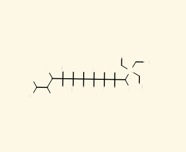 CC[Si](CC)(CC)C(F)C(F)(F)C(F)(F)C(F)(F)C(F)(F)C(F)(F)C(F)(F)C(F)C(F)C(F)F